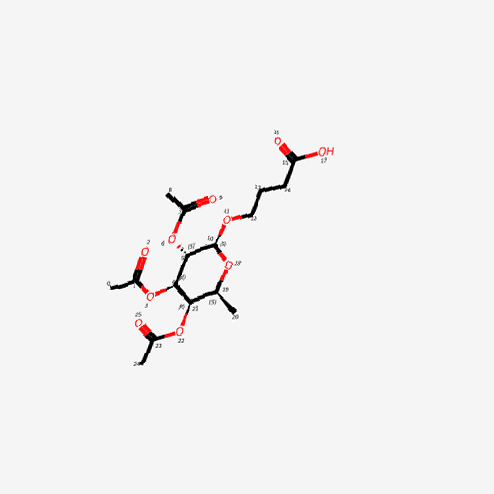 CC(=O)O[C@H]1[C@H](OC(C)=O)[C@@H](OCCCC(=O)O)O[C@@H](C)[C@H]1OC(C)=O